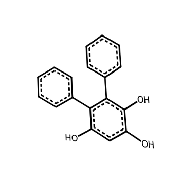 Oc1cc(O)c(-c2ccccc2)c(-c2ccccc2)c1O